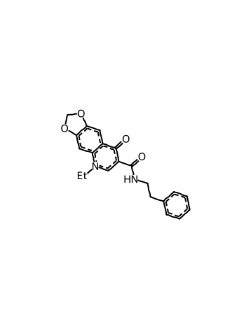 CCn1cc(C(=O)NCCc2ccccc2)c(=O)c2cc3c(cc21)OCO3